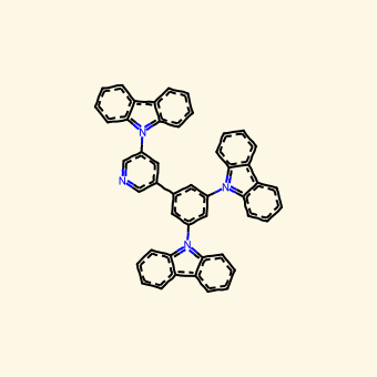 c1ccc2c(c1)c1ccccc1n2-c1cncc(-c2cc(-n3c4ccccc4c4ccccc43)cc(-n3c4ccccc4c4ccccc43)c2)c1